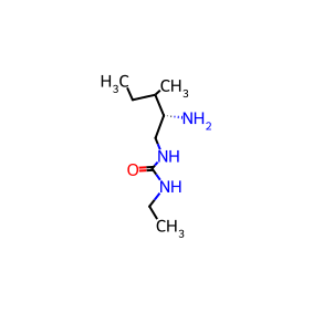 CCNC(=O)NC[C@@H](N)C(C)CC